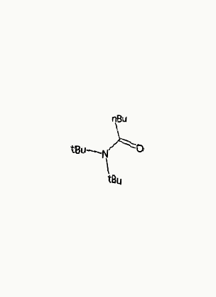 CCCCC(=O)N(C(C)(C)C)C(C)(C)C